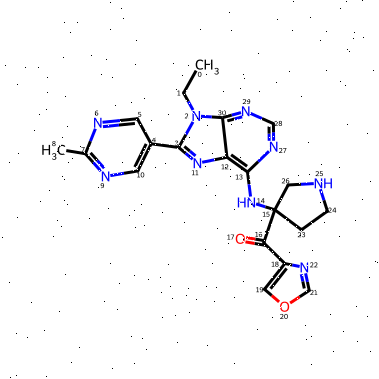 CCn1c(-c2cnc(C)nc2)nc2c(NC3(C(=O)c4cocn4)CCNC3)ncnc21